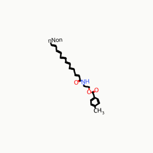 CCCCCCCCCC=CC=CC=CC=CC=CC=CC(=O)NCCOC(=O)c1ccc(C)cc1